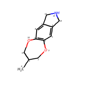 CC1COc2cc3c(cc2OC1)CNC3